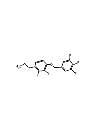 CCOc1ccc(OCc2cc(F)c(F)c(F)c2)c(F)c1F